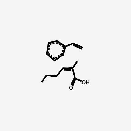 C=Cc1ccccc1.CCCC=C(C)C(=O)O